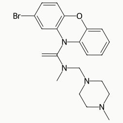 C=C(N(C)CN1CCN(C)CC1)N1c2ccccc2Oc2ccc(Br)cc21